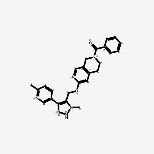 Cc1ccc(C2=C(COc3cc4c(cn3)CN(C(=O)c3ccccc3)CC4)N(C)NN2)cn1